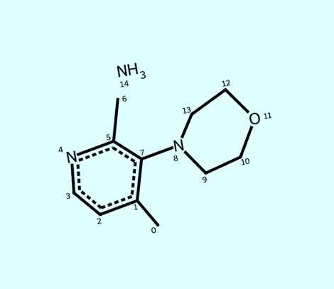 Cc1ccnc(C)c1N1CCOCC1.N